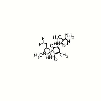 Cc1cc(Nc2ncnc(N)c2C)c(=O)n2c1C(=O)NC21CC(CC(F)F)CN(C)C1